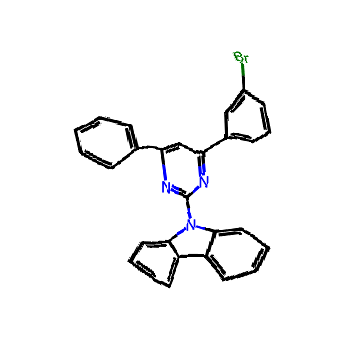 Brc1cccc(-c2cc(-c3ccccc3)nc(-n3c4ccccc4c4ccccc43)n2)c1